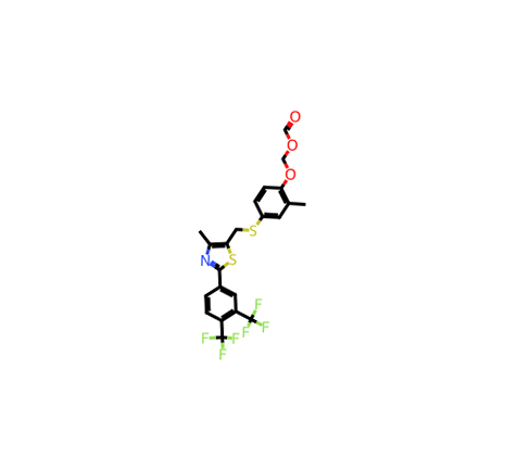 Cc1cc(SCc2sc(-c3ccc(C(F)(F)F)c(C(F)(F)F)c3)nc2C)ccc1OCOC=O